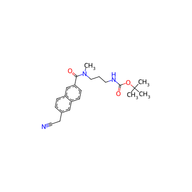 CN(CCCNC(=O)OC(C)(C)C)C(=O)c1ccc2cc(CC#N)ccc2c1